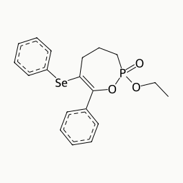 CCOP1(=O)CCCC([Se]c2ccccc2)=C(c2ccccc2)O1